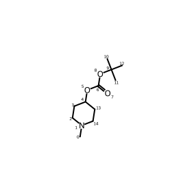 CN1CCC(OC(=O)OC(C)(C)C)CC1